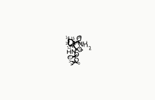 CC(C)(C)OC(=O)ONC(=O)C1C2C=CC(C2)C1C(N)=O